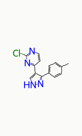 Cc1ccc(-c2n[nH]cc2-c2ccnc(Cl)n2)cc1